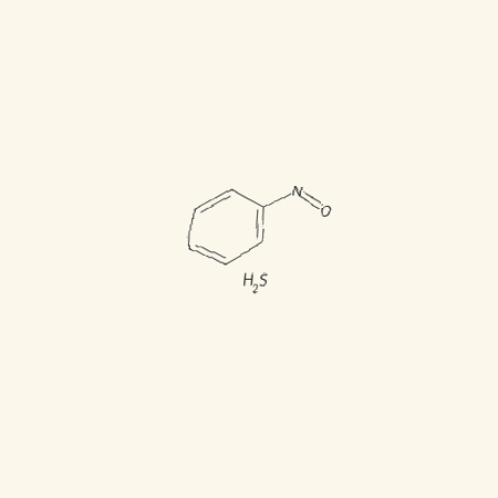 O=Nc1ccccc1.S